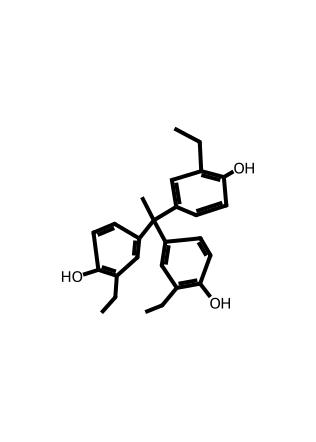 CCc1cc(C(C)(c2ccc(O)c(CC)c2)c2ccc(O)c(CC)c2)ccc1O